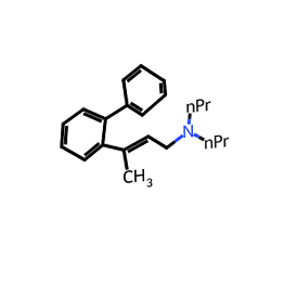 CCCN(CC=C(C)c1ccccc1-c1ccccc1)CCC